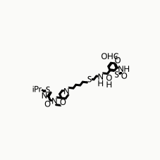 CC(C)c1nc(C(=O)N2CCOC3(CCN(CCCCCCSCCNCC(O)c4ccc(OC=O)c5[nH]c(=O)sc45)CC3)C2)cs1